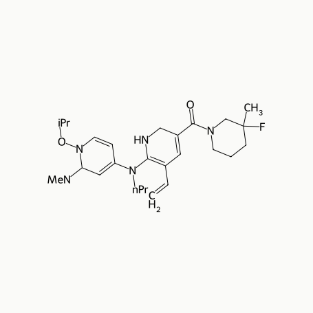 C=CC1=C(N(CCC)C2=CC(NC)N(OC(C)C)C=C2)NCC(C(=O)N2CCCC(C)(F)C2)=C1